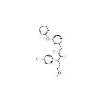 COCCC(C(F)=C(F)Cc1cccc(Oc2ccccc2)c1)c1ccc(Cl)cc1